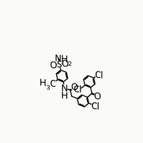 Cc1cc(S(N)(=O)=O)ccc1NC(=O)Cc1ccc(Cl)c(C(=O)c2cc(Cl)ccc2Cl)c1